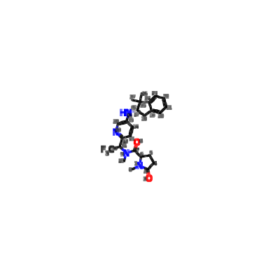 CN1C(=O)CCC1C(=O)N(C)C(c1ccc(N[C@H]2Cc3ccccc3C2(C)C)cn1)C(F)(F)F